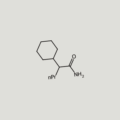 CCCC(C(N)=O)C1CCCCC1